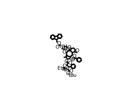 CCC(=O)O[C@@H](C(=O)O[C@H]1C[C@]2(O)CC(=C1C)[C@@H](OC(=O)CNC(=O)OCC1c3ccccc3-c3ccccc31)C(=O)C1(C)C([C@@H]2OC(=O)c2ccccc2)[C@]2(C)COC2C[C@@H]1O)[C@@H](NC(=O)OC(C)(C)C)c1ccccc1